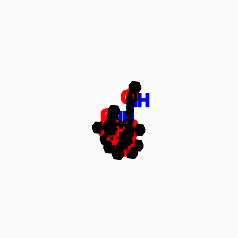 O=C(NCCCCCCNCCO[C@H]1O[C@H](CO[C@H]2O[C@H](COC(=O)c3ccccc3)[C@@H](OC(=O)c3ccccc3)[C@H](OC(=O)c3ccccc3)[C@@H]2OC(=O)c2ccccc2)[C@@H](OC(=O)c2ccccc2)[C@H](O[C@H]2O[C@H](COC(=O)c3ccccc3)[C@@H](OC(=O)c3ccccc3)[C@H](OC(=O)c3ccccc3)[C@@H]2OC(=O)c2ccccc2)[C@@H]1OC(=O)c1ccccc1)OCc1ccccc1